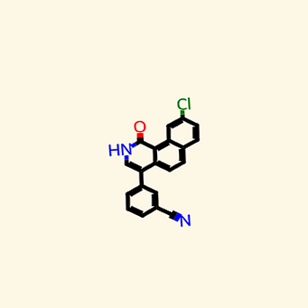 N#Cc1cccc(-c2c[nH]c(=O)c3c2ccc2ccc(Cl)cc23)c1